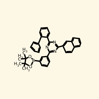 CC1(C)OB(c2cccc(-c3nc(-c4ccc5ccccc5c4)nc(-c4ccccc4-c4ccccc4)n3)c2)OC1(C)C